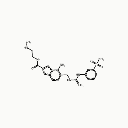 C=C(NCc1ccc2sc(C(=O)NCCNC)cc2c1N)Nc1cccc(S(N)(=O)=O)c1